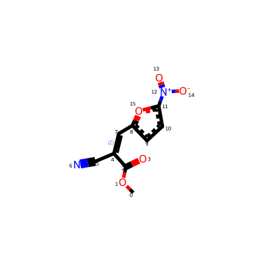 COC(=O)/C(C#N)=C\c1ccc([N+](=O)[O-])o1